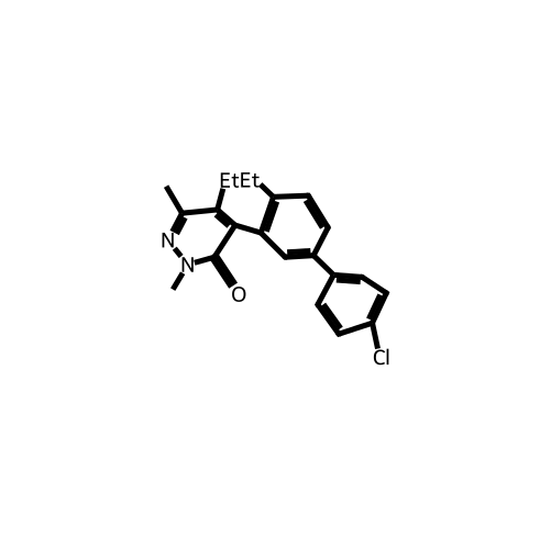 CCc1ccc(-c2ccc(Cl)cc2)cc1-c1c(CC)c(C)nn(C)c1=O